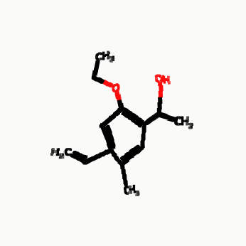 C=Cc1cc(OCC)c(C(C)O)cc1C